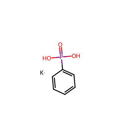 O=P(O)(O)c1ccccc1.[K]